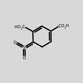 O=C(O)C1=CCC(=S(=O)=O)C(C(=O)O)=C1